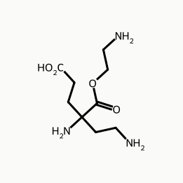 NCCOC(=O)C(N)(CCN)CCC(=O)O